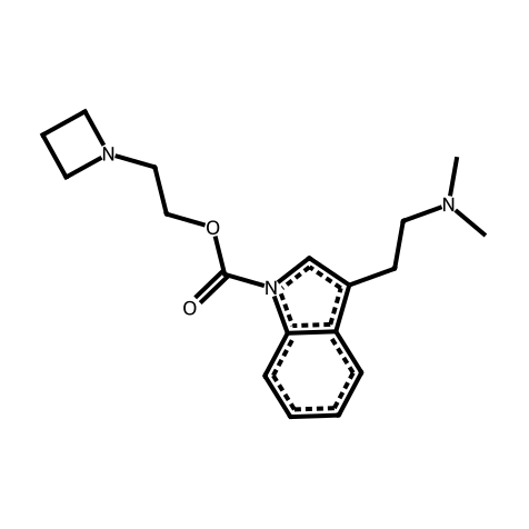 CN(C)CCc1cn(C(=O)OCCN2CCC2)c2ccccc12